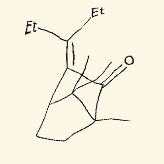 CCC(CC)=C1C(=O)C2(C)CCC1C2(C)C